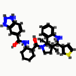 O=C(N[C@@H]1CCCC[C@@H]1C(=O)N1CC[C@@H]2[C@H](c3ccsc3)Nc3ccccc3[C@@H]21)c1ccc2[nH]nnc2c1